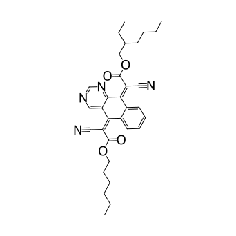 CCCCCCOC(=O)/C(C#N)=c1\c2ccccc2/c(=C(\C#N)C(=O)OCC(CC)CCCC)c2ncncc12